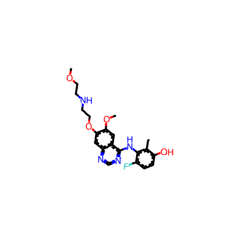 COCCNCCOc1cc2ncnc(Nc3c(F)ccc(O)c3C)c2cc1OC